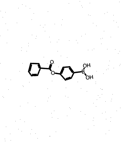 O=C(Oc1ccc(B(O)O)cc1)c1ccccc1